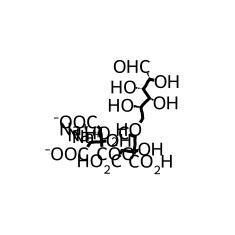 O=C(O)CC(O)(CC(=O)O)C(=O)O.O=C([O-])CC(O)(CC(=O)[O-])C(=O)[O-].O=C[C@H](O)[C@@H](O)[C@H](O)[C@H](O)CO.[Na+].[Na+].[Na+]